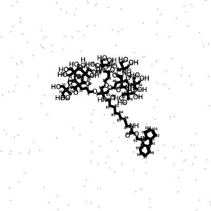 O=C(CCOCC(COCCCC(C(=O)NC(CO)(CO)CO)(C(=O)NC(CO)(CO)CO)C(=O)NC(CO)(CO)CO)(COCCC(C(=O)NC(CO)(CO)CO)(C(=O)NC(CO)(CO)CO)C(=O)NC(CO)(CO)CO)NC(=O)CCCCCCCNC(=O)OCc1c2ccccc2cc2ccccc12)NC(CO)(CO)CO